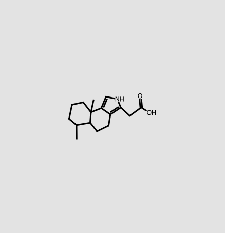 CC1CCCC2(C)c3c[nH]c(CC(=O)O)c3CCC12